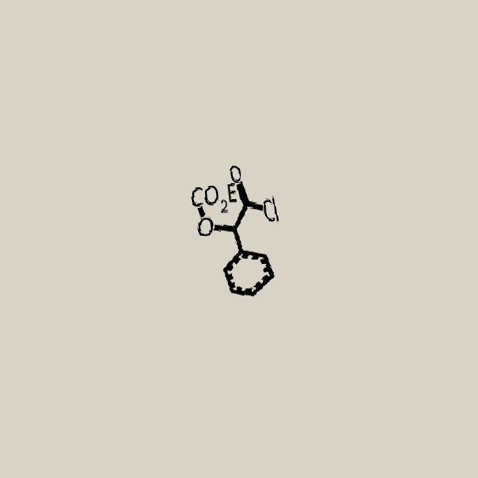 CCOC(=O)OC(C(=O)Cl)c1ccccc1